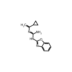 C=C(/N=C(\N)Nc1nc2ccccc2o1)C1CC1